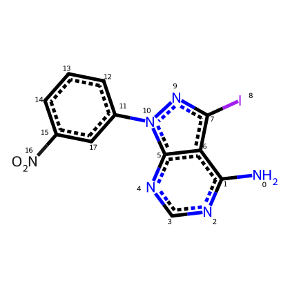 Nc1ncnc2c1c(I)nn2-c1cccc([N+](=O)[O-])c1